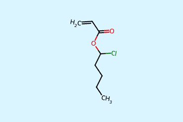 C=CC(=O)OC(Cl)CCCC